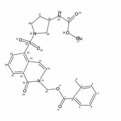 Cc1ccccc1C(=O)OCn1ccc2c(S(=O)(=O)N3CCC(NC(=O)OC(C)(C)C)C3)cccc2c1=O